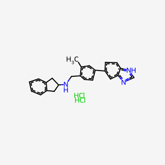 Cc1cc(-c2ccc3[nH]cnc3c2)ccc1CNC1Cc2ccccc2C1.Cl.Cl